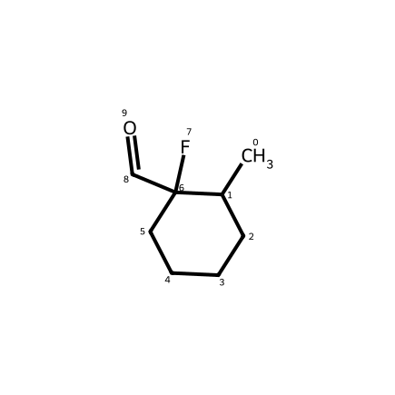 CC1CCCCC1(F)C=O